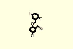 Fc1ccc(F)c(COc2ccc(Cl)cc2CBr)c1